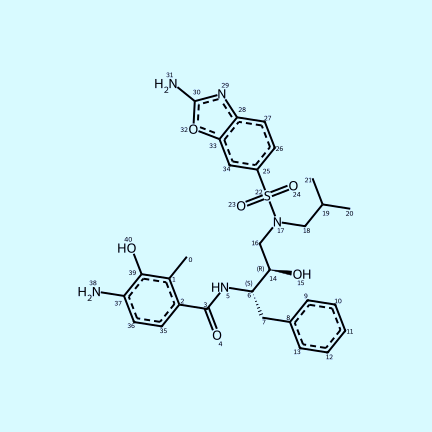 Cc1c(C(=O)N[C@@H](Cc2ccccc2)[C@H](O)CN(CC(C)C)S(=O)(=O)c2ccc3nc(N)oc3c2)ccc(N)c1O